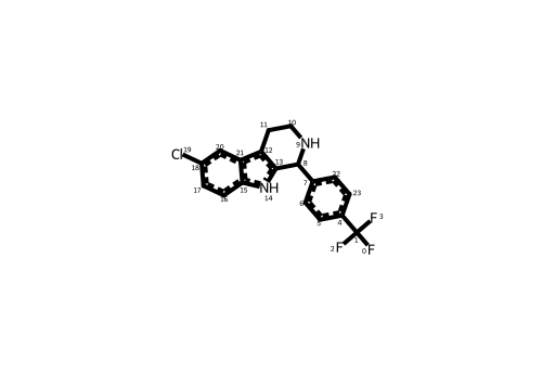 FC(F)(F)c1ccc(C2NCCc3c2[nH]c2ccc(Cl)cc32)cc1